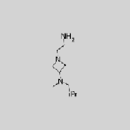 CC(C)CN(C)C1CN(CCN)C1